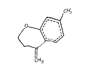 C=C1CCOc2cc(C)ccc21